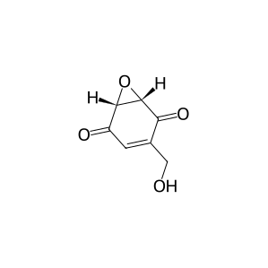 O=C1C(CO)=CC(=O)[C@@H]2O[C@H]12